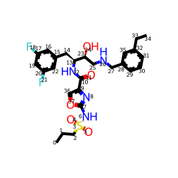 CCCS(=O)(=O)Nc1nc(C(=O)N[C@@H](Cc2cc(F)cc(F)c2)[C@@H](O)CNCc2cccc(CC)c2)co1